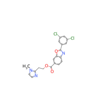 Cn1ccnc1CCOC(=O)c1ccc2nc(-c3cc(Cl)cc(Cl)c3)oc2c1